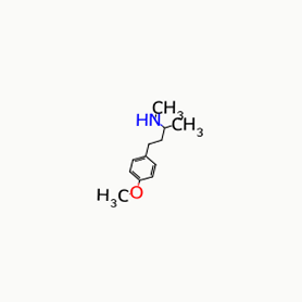 CNC(C)CCc1ccc(OC)cc1